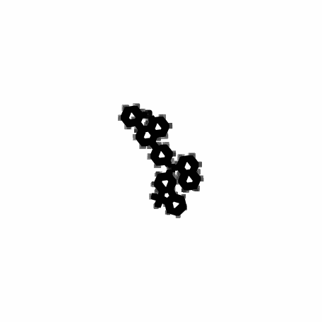 CC1(C)c2ccccc2-c2cc(N(c3ccc(-c4ccc5c6c(cccc46)Oc4ccccc4-5)cc3)c3cccc4ccccc34)ccc21